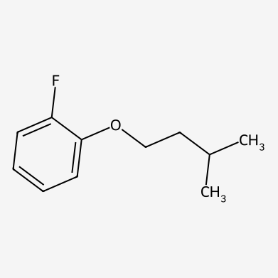 CC(C)CCOc1ccccc1F